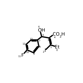 CCC(I)=C(C(=O)O)C(O)c1ccc(F)cc1